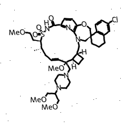 COCC[C@@H]1[C@@H](C)C/C=C/[C@](CN2CCN(C(COC)COC)CC2)(OC)[C@@H]2CC[C@H]2CN2C[C@@]3(CCCc4cc(Cl)ccc43)COc3ccc(nc32)C(=O)NS1(=O)=O